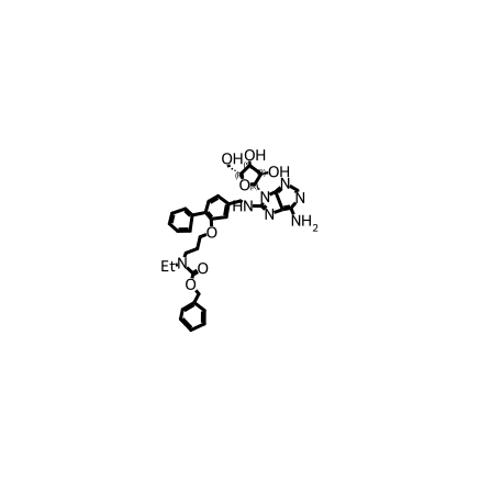 CCN(CCCOc1cc(CNc2nc3c(N)ncnc3n2[C@@H]2O[C@H](CO)[C@@H](O)[C@H]2O)ccc1-c1ccccc1)C(=O)OCc1ccccc1